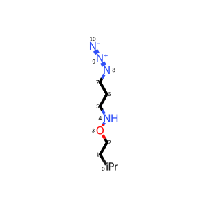 CC(C)CCONCCCN=[N+]=[N-]